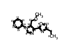 CCc1noc(-c2ncn(-c3cccnc3)c2COC)n1